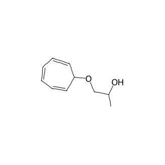 CC(O)COC1C=CC=CC=C1